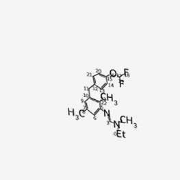 CCN(C)C=Nc1cc(C)cc(Cc2ccc(OC(F)F)cc2)c1C